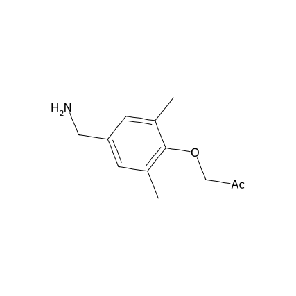 CC(=O)COc1c(C)cc(CN)cc1C